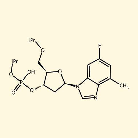 Cc1cc(F)cc2c1ncn2[C@H]1C[C@H](OP(=O)(O)OC(C)C)[C@@H](COC(C)C)O1